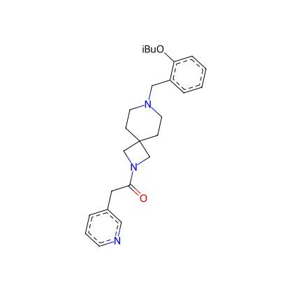 CC(C)COc1ccccc1CN1CCC2(CC1)CN(C(=O)Cc1cccnc1)C2